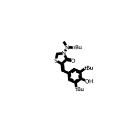 CCCCN(C)N1CSC(=Cc2cc(C(C)(C)C)c(O)c(C(C)(C)C)c2)C1=O